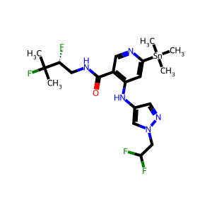 CC(C)(F)[C@H](F)CNC(=O)c1cn[c]([Sn]([CH3])([CH3])[CH3])cc1Nc1cnn(CC(F)F)c1